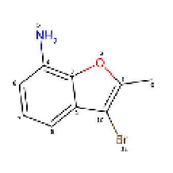 Cc1oc2c(N)cccc2c1Br